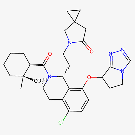 C[C@]1(C(=O)O)CCCC[C@H]1C(=O)N1CCc2c(Cl)ccc(OC3CCn4cnnc43)c2[C@H]1CCN1CC2(CC2)CC1=O